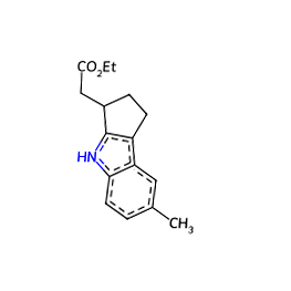 CCOC(=O)CC1CCc2c1[nH]c1ccc(C)cc21